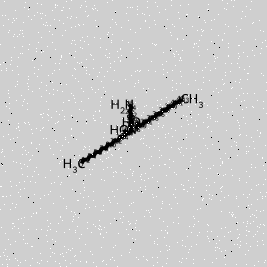 CCCCCCCCCCCCCCCC(O)CN(CCSSCCN)CC(O)CCCCCCCCCCCCCCC